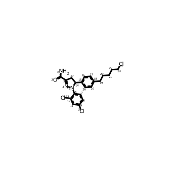 NC(=O)C1=NN(c2ccc(Cl)cc2Cl)C(c2ccc(CCCCCCl)cc2)C1